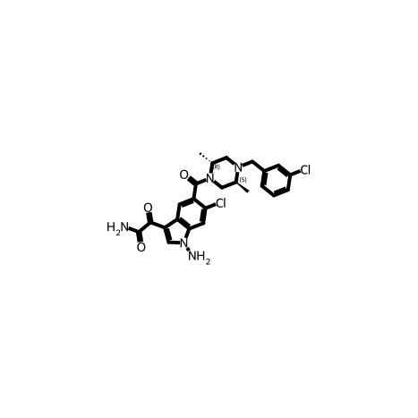 C[C@@H]1CN(Cc2cccc(Cl)c2)[C@@H](C)CN1C(=O)c1cc2c(C(=O)C(N)=O)cn(N)c2cc1Cl